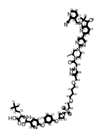 C[C@H]1CN(c2ncc(-c3ccc4c(n3)N(Cc3cccnc3C#N)C(C)(C)C4=O)cn2)CCN1C(=O)Cn1cc(COCCCCOCCS(=O)(=O)N2CC(Oc3cccc(Oc4ccc(C(=O)N[C@@H](CCC(C)(C)C)C(=O)O)cn4)c3)C2)nn1